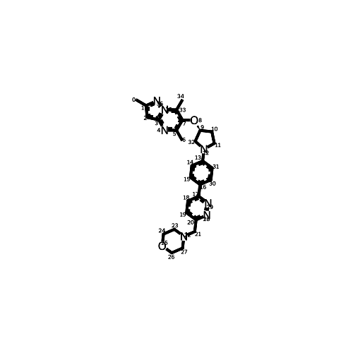 Cc1cc2nc(C)c(O[C@@H]3CCN(c4ccc(-c5ccc(CN6CCOCC6)nn5)cc4)C3)c(C)n2n1